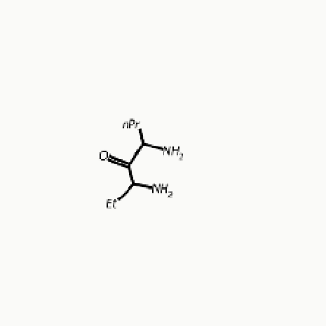 CCCC(N)C(=O)C(N)CC